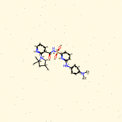 CCN(CC)c1ccc(Nc2cccc(S(=O)(=O)NC(=O)c3cccnc3N3CC(C)CC3(C)C)n2)cc1